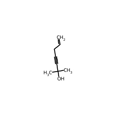 C=CCC#CC(C)(C)O